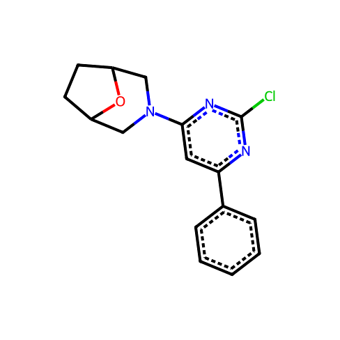 Clc1nc(-c2ccccc2)cc(N2CC3CCC(C2)O3)n1